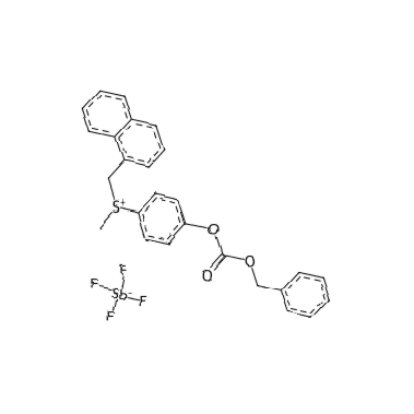 C[S+](Cc1cccc2ccccc12)c1ccc(OC(=O)OCc2ccccc2)cc1.[F][Sb-]([F])([F])[F]